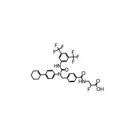 O=C(NCC(F)C(=O)O)c1ccc(CN(C(=O)Nc2cc(C(F)(F)F)cc(C(F)(F)F)c2)c2ccc(C3=CCCCC3)cc2)cc1